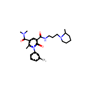 Cc1c(C(=O)N(C)C)cc(C(=O)NCCCN2CCCCC2C)c(=O)n1-c1cccc(C(F)(F)F)c1